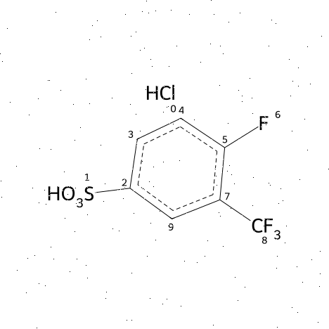 Cl.O=S(=O)(O)c1ccc(F)c(C(F)(F)F)c1